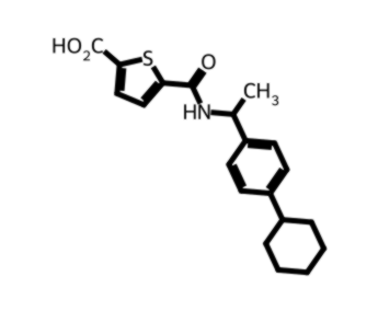 CC(NC(=O)c1ccc(C(=O)O)s1)c1ccc(C2CCCCC2)cc1